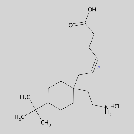 CC(C)(C)C1CCC(C/C=C\CCC(=O)O)(CCN)CC1.Cl